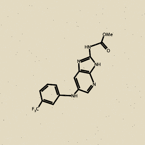 COC(=O)Nc1nc2cc(Nc3cccc(C(F)(F)F)c3)cnc2[nH]1